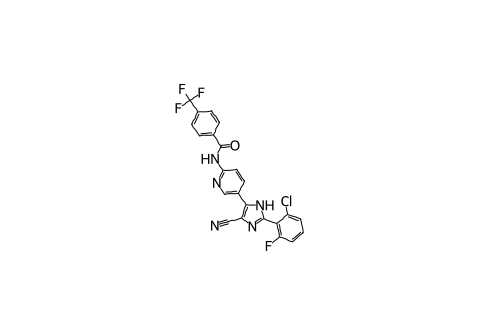 N#Cc1nc(-c2c(F)cccc2Cl)[nH]c1-c1ccc(NC(=O)c2ccc(C(F)(F)F)cc2)nc1